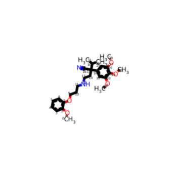 COc1ccccc1OCCCNCCC(C#N)(c1cc(OC)c(OC)c(OC)c1)C(C)C